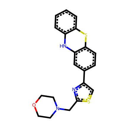 c1ccc2c(c1)Nc1cc(-c3csc(CN4CCOCC4)n3)ccc1S2